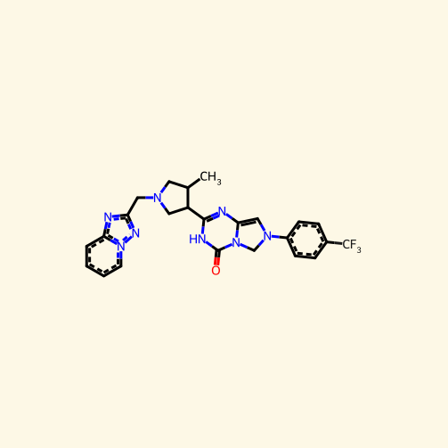 CC1CN(Cc2nc3ccccn3n2)CC1C1=NC2=CN(c3ccc(C(F)(F)F)cc3)CN2C(=O)N1